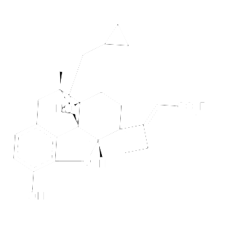 CCOC(=O)/C=C1\CC[C@]12CC[C@@]1(O)[C@H]3Cc4ccc(O)c5c4[C@@]1(CCN3CC1CC1)[C@H]2O5